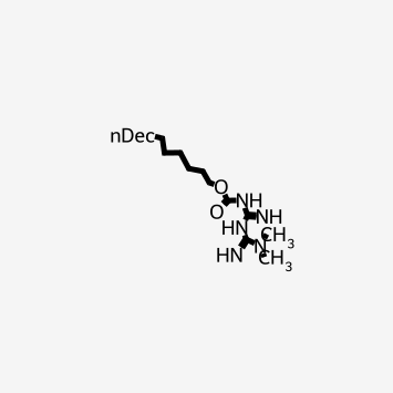 CCCCCCCCCCCCCCCCOC(=O)NC(=N)NC(=N)N(C)C